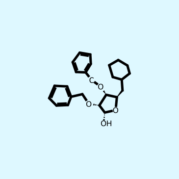 O[C@H]1O[C@H](CC2CCCCC2)[C@@H](OCc2ccccc2)[C@H]1OCc1ccccc1